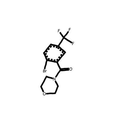 O=C(c1cc(C(F)(F)F)ccc1Br)N1CCOCC1